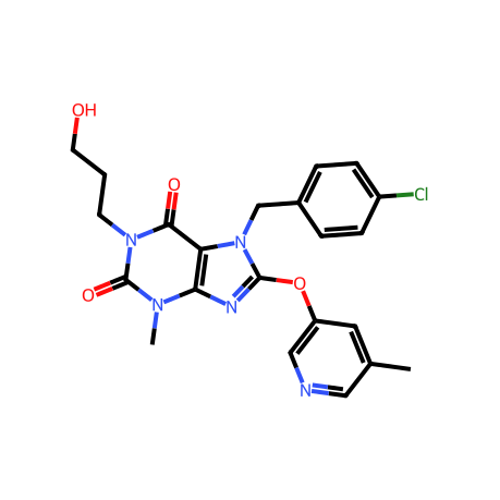 Cc1cncc(Oc2nc3c(c(=O)n(CCCO)c(=O)n3C)n2Cc2ccc(Cl)cc2)c1